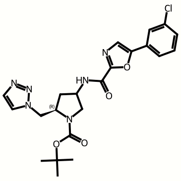 CC(C)(C)OC(=O)N1CC(NC(=O)c2ncc(-c3cccc(Cl)c3)o2)C[C@@H]1Cn1ccnn1